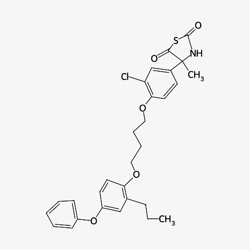 CCCc1cc(Oc2ccccc2)ccc1OCCCCOc1ccc(C2(C)NC(=O)SC2=O)cc1Cl